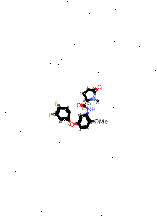 COc1ccc(Oc2ccc(F)c(F)c2)cc1NC(=O)[C@@H]1CCC(=O)N1C